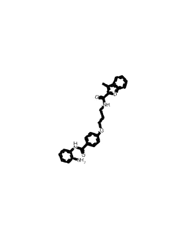 Cc1c(C(=O)NCCCOc2ccc(C(=O)Nc3ccccc3N)cc2)oc2ccccc12